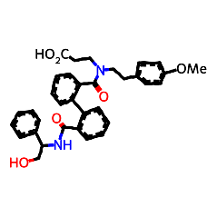 COc1ccc(CCN(CCC(=O)O)C(=O)c2ccccc2-c2ccccc2C(=O)NC(CO)c2ccccc2)cc1